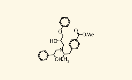 COC(=O)c1ccc(C[C@@H](C)N(C[C@H](O)COc2ccccc2)C[C@@H](O)c2ccccc2)cc1